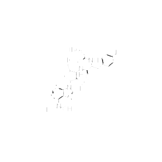 CN(C)c1ncnc2c1ncn2C1OC(CO)C(NC(=O)C(Cc2ccc(F)cc2)NC(=O)OC(C)(C)C)[C@H]1O